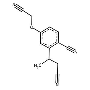 CC(CC#N)c1cc(OCC#N)ccc1C#N